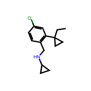 CCC1(c2cc(Cl)ccc2CNC2CC2)CC1